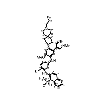 CN/C=C(\C=N)c1cc(Nc2ncc(Br)c(Nc3ccc4ncccc4c3P(C)(C)=O)n2)c(OC)cc1N1CCC2(CCN(CCF)CC2)CC1